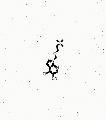 CS(C)(C)CCOCn1ccc2c(Cl)c(C#N)cnc21